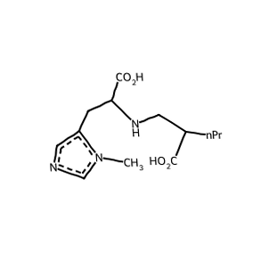 CCCC(CNC(Cc1cncn1C)C(=O)O)C(=O)O